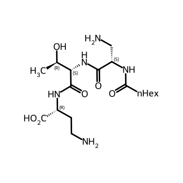 CCCCCCC(=O)N[C@@H](CN)C(=O)N[C@H](C(=O)N[C@H](CCN)C(=O)O)[C@@H](C)O